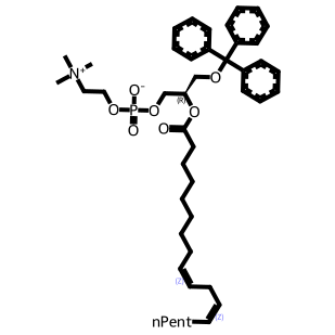 CCCCC/C=C\C/C=C\CCCCCCCC(=O)O[C@H](COC(c1ccccc1)(c1ccccc1)c1ccccc1)COP(=O)([O-])OCC[N+](C)(C)C